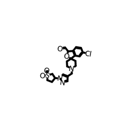 O=CC1OC2(CCN(Cc3cnn(C4CCS(=O)(=O)C4)c3)CC2)c2cc(Cl)ccc21